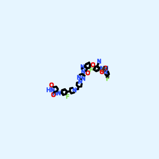 N#Cc1c(NS(=O)(=O)N2CC[C@@H](F)C2)ccc(F)c1Oc1ccc2ncn(-c3cnc(N4CCC(CN5CCC(c6ccc(NC7CCC(=O)NC7=O)cc6F)CC5)CC4)nc3)c(=O)c2c1